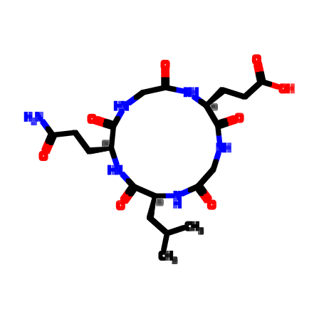 CC(C)C[C@@H]1NC(=O)CNC(=O)[C@H](CCC(=O)O)NC(=O)CNC(=O)[C@H](CCC(N)=O)NC1=O